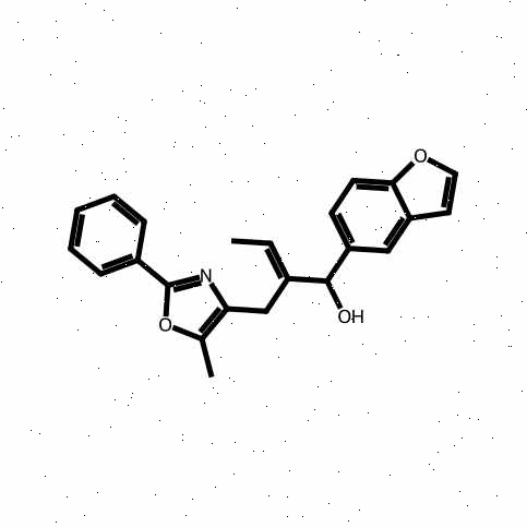 CC=C(Cc1nc(-c2ccccc2)oc1C)C(O)c1ccc2occc2c1